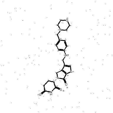 O=C1CC[C@H](N2Cc3c(CNc4ccc(CN5CCOCC5)cc4)csc3C2=O)C(=O)N1